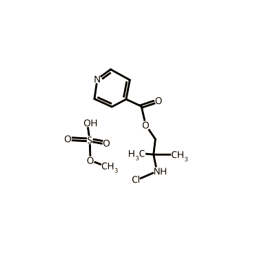 CC(C)(COC(=O)c1ccncc1)NCl.COS(=O)(=O)O